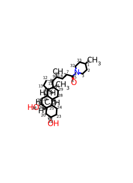 CC1CCN(C(=O)CC[C@@H](C)[C@H]2CC[C@H]3[C@@H]4C[C@@H](O)[C@H]5C[C@@H](O)CC[C@]5(C)[C@H]4CC[C@]23C)CC1